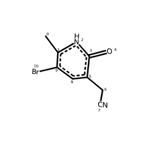 Cc1[nH]c(=O)c(CC#N)cc1Br